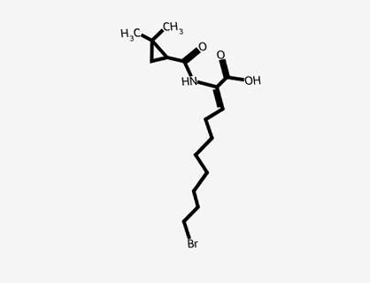 CC1(C)CC1C(=O)N/C(=C\CCCCCCCBr)C(=O)O